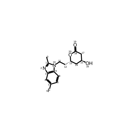 Cc1nc2cc(F)ccc2n1CC[C@H]1C[C@H](O)CC(=O)O1